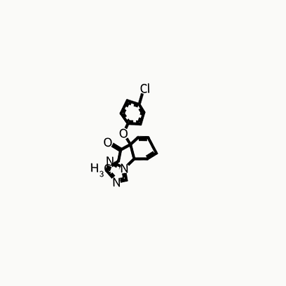 CCC(=O)C1(Oc2ccc(Cl)cc2)C=CC=CC1n1cncn1